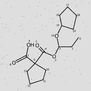 CCC(OC(=O)C1(C(=O)O)CCCC1)OC1CCCC1